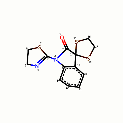 O=C1N(C2=NCCS2)c2ccccc2C12SCCS2